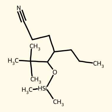 CCCC(CCC#N)C(O[SiH](C)C)C(C)(C)C